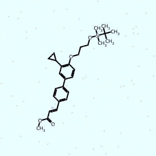 COC(=O)/C=C/c1ccc(-c2ccc(OCCCO[Si](C)(C)C(C)(C)C)c(C3CC3)c2)cc1